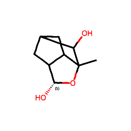 CC12O[C@H](O)C3CC(CC31)C2O